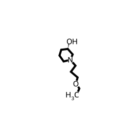 CCOCCCN1CCC[C@H](O)C1